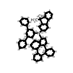 CC1(C)c2ccccc2-c2ccc(N(c3cc(-c4ccccc4)cc(-c4ccccc4)c3)c3ccc4c5c(cccc35)-c3ccccc3-c3ccccc3-4)cc21